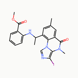 COC(=O)c1ccccc1NC(C)c1cc(C)cc2c(=O)n(C)c3c(I)ncn3c12